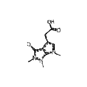 Cn1cc(CC(=O)O)c2c(=O)n(C)n(C)c21